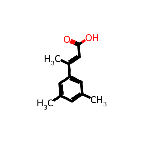 C/C(=C\C(=O)O)c1cc(C)cc(C)c1